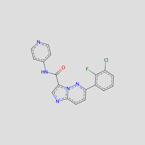 O=C(Nc1ccncc1)c1cnc2ccc(-c3cccc(Cl)c3F)nn12